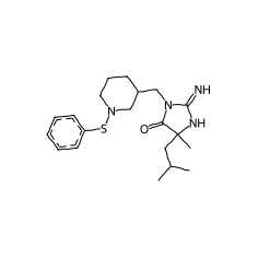 CC(C)CC1(C)NC(=N)N(CC2CCCN(Sc3ccccc3)C2)C1=O